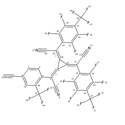 C#Cc1ccc(/C(C#N)=C2/C(=C(C#N)c3c(F)c(F)c(C(F)(F)F)c(F)c3F)/C2=C(/C#N)c2c(F)c(F)c(C(F)(F)F)c(F)c2F)c(C(F)(F)F)c1